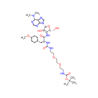 COc1ccc(C[C@H](NC(=O)NCCOCCOCCNC(=O)OC(C)(C)C)C(=O)N[C@H]2[C@@H](O)[C@H](n3cnc4c(N(C)C)ncnc43)O[C@@H]2CO)cc1